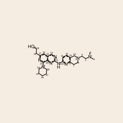 CN(C)CCN1CCc2nc(Nc3ncc4cc(CCO)nc(N5CCCCC5)c4n3)ccc2C1